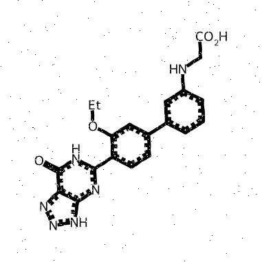 CCOc1cc(-c2cccc(NCC(=O)O)c2)ccc1-c1nc2[nH]nnc2c(=O)[nH]1